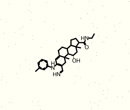 CCNC(=O)C1CCC2C3CCC4=CC(Nc5cccc(C)c5)=C(C=N)CC4(C)C3[C@@H](O)CC12C